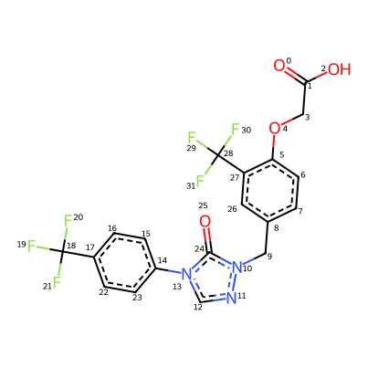 O=C(O)COc1ccc(Cn2ncn(-c3ccc(C(F)(F)F)cc3)c2=O)cc1C(F)(F)F